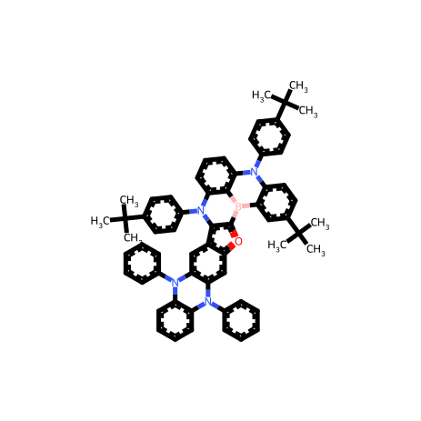 CC(C)(C)c1ccc(N2c3ccc(C(C)(C)C)cc3B3c4oc5cc6c(cc5c4N(c4ccc(C(C)(C)C)cc4)c4cccc2c43)N(c2ccccc2)c2ccccc2N6c2ccccc2)cc1